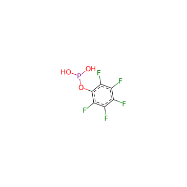 OP(O)Oc1c(F)c(F)c(F)c(F)c1F